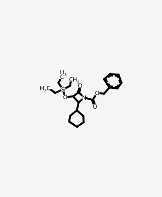 CC[Si](CC)(CC)OC1C(=O)N(C(=O)OCc2ccccc2)C1C1CCCCC1